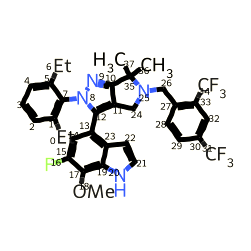 CCc1cccc(CC)c1-n1nc2c(c1-c1cc(F)c(OC)c3[nH]ccc13)CN(Cc1ccc(C(F)(F)F)cc1C(F)(F)F)C2(C)C